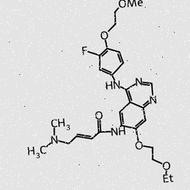 CCOCCOc1cc2ncnc(Nc3ccc(OCCOC)c(F)c3)c2cc1NC(=O)/C=C/CN(C)C